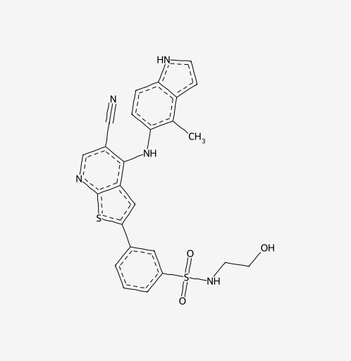 Cc1c(Nc2c(C#N)cnc3sc(-c4cccc(S(=O)(=O)NCCO)c4)cc23)ccc2[nH]ccc12